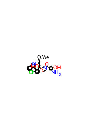 COCCCC[C@](O)(c1cccc(Cl)c1-c1cncc2ccccc12)[C@@H]1CN(C(=O)[C@H]2C[C@@H](N)[C@@H](O)C2)CCO1